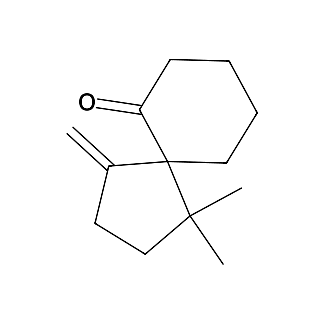 C=C1CCC(C)(C)C12CCCCC2=O